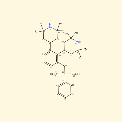 CC1(C)CC(c2cccc(CC(C(=O)O)(C(=O)O)c3ccccc3)c2C2CC(C)(C)NC(C)(C)C2)CC(C)(C)N1